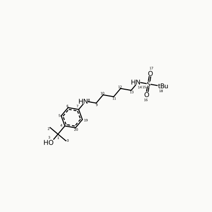 CC(C)(O)c1ccc(NCCCCCNS(=O)(=O)C(C)(C)C)cc1